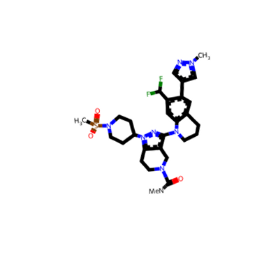 CNC(=O)N1CCc2c(c(N3CCCc4cc(-c5cnn(C)c5)c(C(F)F)cc43)nn2C2CCN(S(C)(=O)=O)CC2)C1